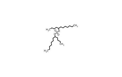 CCCCCCCC(CCCC)OS(=O)(=O)OC(CCCC)CCCCCCC